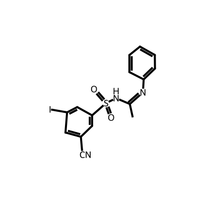 CC(=Nc1ccccc1)NS(=O)(=O)c1cc(I)cc(C#N)c1